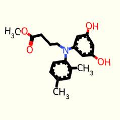 COC(=O)CCCN(c1cc(O)cc(O)c1)c1ccc(C)cc1C